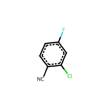 N#Cc1[c]cc(F)cc1Cl